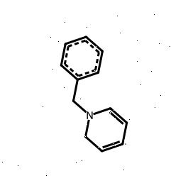 [C]1=CCN(Cc2ccccc2)C=C1